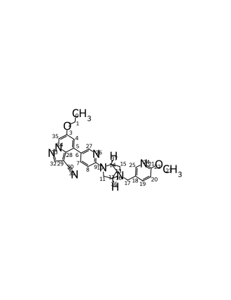 CCOc1cc(-c2ccc(N3C[C@@H]4C[C@H]3CN4Cc3ccc(OC)nc3)nc2)c2c(C#N)cnn2c1